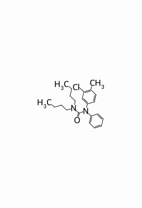 CCCCN(CCCC)C(=O)N(c1ccccc1)c1ccc(C)c(Cl)c1